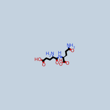 NC(=O)CC[C@H](NC(=O)[C@H](N)CCC(=O)O)C(=O)O